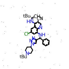 C[C@H](Nc1c(C#N)cnc2c(N[C@@H](c3ccccc3)c3cn(C4CCN(C(C)(C)C)CC4)nn3)cc(Cl)cc12)C(C)(C)C